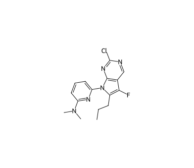 CCCc1c(F)c2cnc(Cl)nc2n1-c1cccc(N(C)C)n1